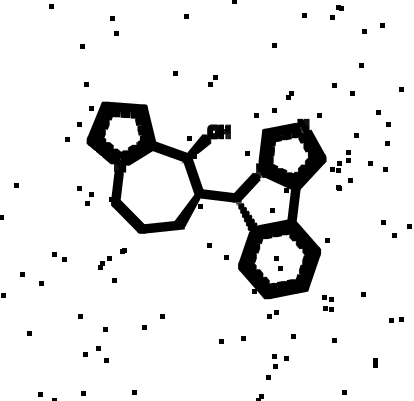 O[C@@H]1c2cccn2CCC[C@@H]1[C@H]1c2ccccc2-c2cncn21